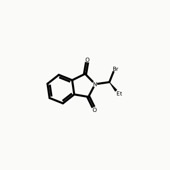 CC[C@H](Br)N1C(=O)c2ccccc2C1=O